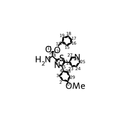 COc1ccc(-c2nc(C(N)C(=O)OCc3ccccc3)sc2-c2cccnc2)cc1